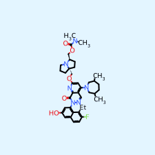 CCc1c(F)ccc2cc(O)cc(-n3ncc4c(N5CC(C)CCC(C)C5)cc(OC[C@]56CCCN5[C@@H](COC(=O)N(C)C)CC6)nc4c3=O)c12